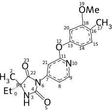 CC[C@@]1(C)NC(=O)N(c2ccnc(Oc3ccc(C)c(OC)c3)c2)C1=O